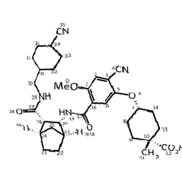 COc1cc(C#N)c(O[C@H]2CC[C@@](C)(C(=O)O)CC2)cc1C(=O)N[C@@H]1[C@H]2CC[C@H](C2)[C@@H]1C(=O)NCC1CCC(C#N)CC1